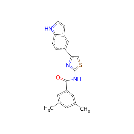 Cc1cc(C)cc(C(=O)Nc2nc(-c3ccc4[nH]ccc4c3)cs2)c1